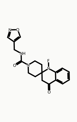 O=C1CC2(CCN(C(=O)NCc3cnoc3)CC2)N(F)c2ccccc21